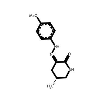 COc1ccc(N/N=C2/C[C@@H](C)CNC2=O)cc1